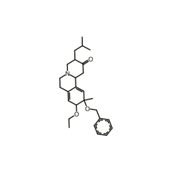 CCOC1C=C2CCN3CC(CC(C)C)C(=O)CC3C2=CC1(C)OCc1ccccc1